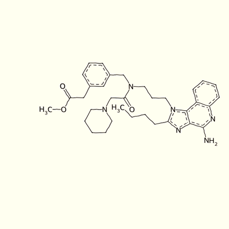 CCCCc1nc2c(N)nc3ccccc3c2n1CCCN(Cc1cccc(CC(=O)OC)c1)C(=O)CN1CCCCC1